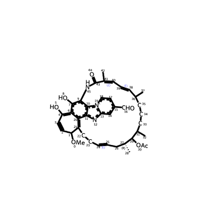 COC1C#CC(O)=c2c(O)c3c4c(nc5cc(C=O)ccn54)c2=C1CC/C=C/C[C@@H](C)C(OC(C)=O)C(C)CCCC(C)/C=C/C=C(/C)C(=O)N3